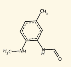 CNc1ccc(C)cc1NC=O